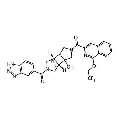 O=C(c1ccc2[nH]nnc2c1)N1C[C@@H]2C3CN(C(=O)c4cc5ccccc5c(OCC(F)(F)F)n4)CC3(O)[C@@H]2C1